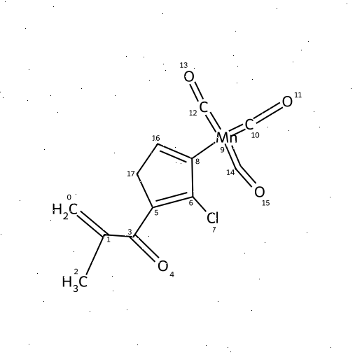 C=C(C)C(=O)C1=C(Cl)[C]([Mn](=[C]=O)(=[C]=O)=[C]=O)=CC1